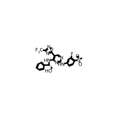 CS(=O)(=O)c1ccc(Nc2ncc(-c3nc(C(F)(F)F)no3)c(N[C@H](CO)c3ccccc3)n2)cc1F